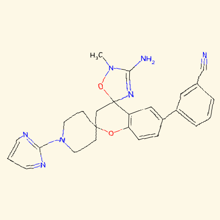 CN1OC2(CC3(CCN(c4ncccn4)CC3)Oc3ccc(-c4cccc(C#N)c4)cc32)N=C1N